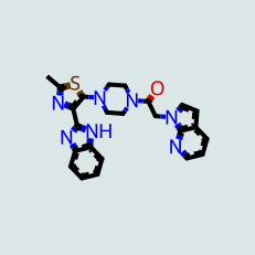 Cc1nc(-c2nc3ccccc3[nH]2)c(N2CCN(C(=O)Cn3ccc4cccnc43)CC2)s1